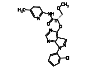 COC[C@H](Oc1ncnc2c1cnn2-c1ccccc1Cl)C(=O)Nc1ccc(C)cn1